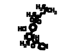 CN(C)CCCN(C)S(=O)(=O)c1ccc(-c2cnc(N)c(C(=O)Nc3cccnc3)n2)cc1.Cl